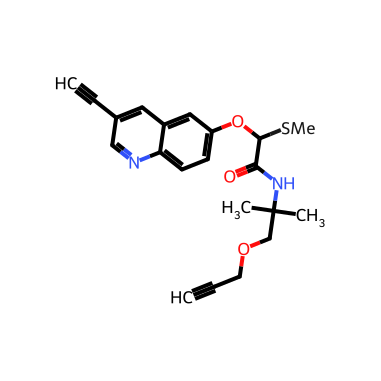 C#CCOCC(C)(C)NC(=O)C(Oc1ccc2ncc(C#C)cc2c1)SC